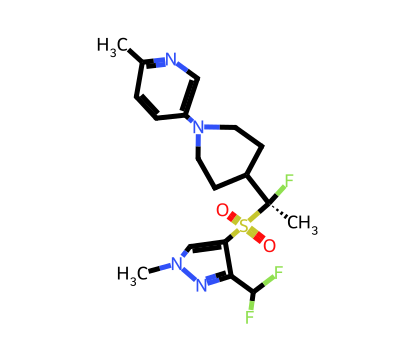 Cc1ccc(N2CCC([C@@](C)(F)S(=O)(=O)c3cn(C)nc3C(F)F)CC2)cn1